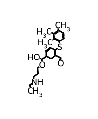 CCNCCCOC(O)C1C=CC(Sc2ccc(C)c(C)c2C)=C(C=O)C1